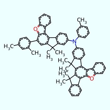 Cc1cccc(N(c2ccc3c(c2)C(C)(C)c2cc(-c4ccc(C)cc4C)c4oc5ccccc5c4c2-3)c2ccc3c(c2)C(C)(C)c2c4c(c5oc6ccccc6c5c2-3)-c2ccccc2C4(C)C)c1